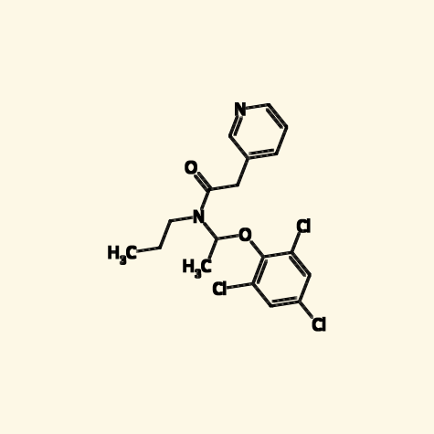 CCCN(C(=O)Cc1cccnc1)C(C)Oc1c(Cl)cc(Cl)cc1Cl